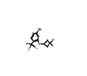 FC1(F)CC(Sc2cc(Br)ccc2C(F)(F)F)C1